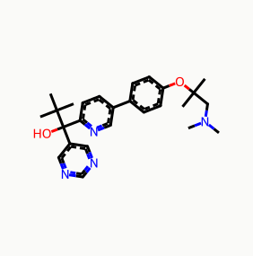 CN(C)CC(C)(C)Oc1ccc(-c2ccc(C(O)(c3cncnc3)C(C)(C)C)nc2)cc1